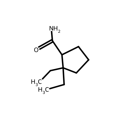 CCC1(CC)CCCC1C(N)=O